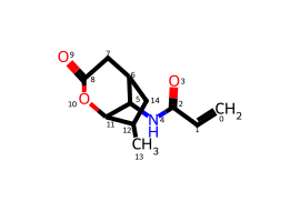 C=CC(=O)NC1C2CC(=O)OC1C(C)C2